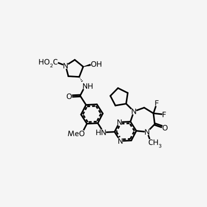 COc1cc(C(=O)N[C@@H]2CN(C(=O)O)C[C@H]2O)ccc1Nc1ncc2c(n1)N(C1CCCC1)CC(F)(F)C(=O)N2C